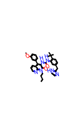 CCCCn1c(=O)c(NC(=O)Nc2cc(Cc3ncc[nH]3)ccc2C(C)(C)C)c(-c2cccc(OC)c2)c2cccnc21